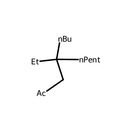 CCCCCC(CC)(CCCC)CC(C)=O